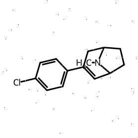 CN1C2C=C(c3ccc(Cl)cc3)CC1CC2